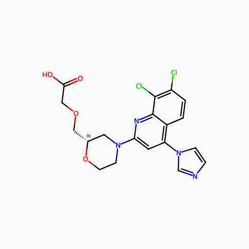 O=C(O)COC[C@@H]1CN(c2cc(-n3ccnc3)c3ccc(Cl)c(Cl)c3n2)CCO1